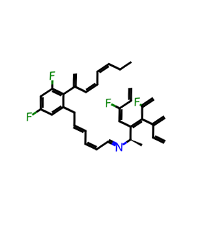 C=CC(=C)/C(C(=C)F)=C(/C=C(/F)C=C)[C@@H](C)/N=C/C=C\C=C\Cc1cc(F)cc(F)c1C(=C)/C=C\C=C/CC